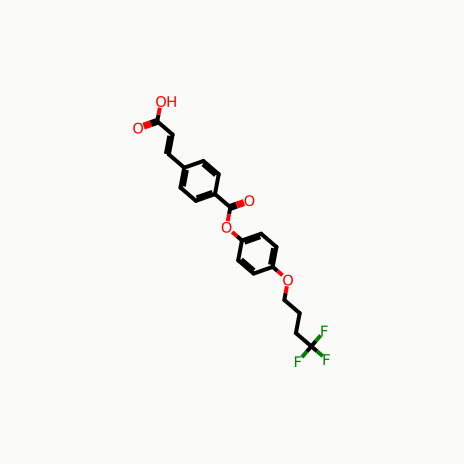 O=C(O)C=Cc1ccc(C(=O)Oc2ccc(OCCCC(F)(F)F)cc2)cc1